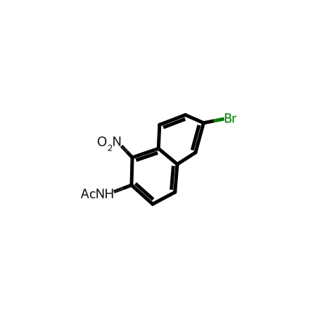 CC(=O)Nc1ccc2cc(Br)ccc2c1[N+](=O)[O-]